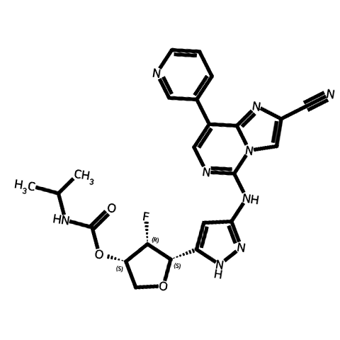 CC(C)NC(=O)O[C@H]1CO[C@@H](c2cc(Nc3ncc(-c4cccnc4)c4nc(C#N)cn34)n[nH]2)[C@H]1F